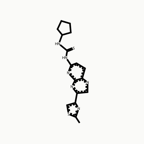 Cc1nc(-c2cnc3ccc(NC(=S)NC4CCCC4)nc3n2)cs1